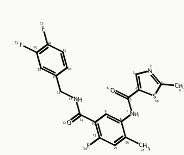 Cc1ncc(C(=O)Nc2cc(C(=O)NCc3ccc(F)c(F)c3)c(F)cc2C)s1